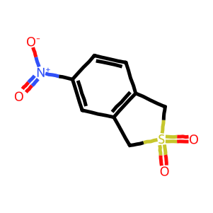 O=[N+]([O-])c1ccc2c(c1)CS(=O)(=O)C2